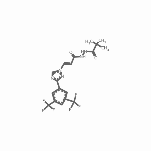 CC(C)(C)C(=O)NNC(=O)C=Cn1cnc(-c2cc(C(F)(F)F)cc(C(F)(F)F)c2)n1